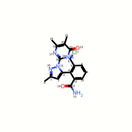 Cc1cc(-c2c(CCl)cccc2C(N)=O)n(-c2nc(C)c(C)c(=O)[nH]2)n1